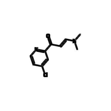 CN(C)/C=C/C(=O)c1cc(Cl)ccn1